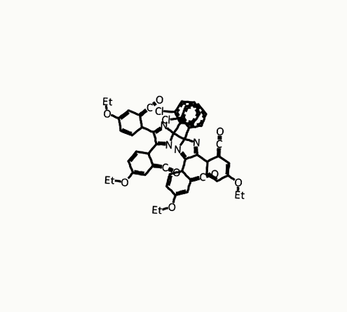 CCOC1=CC(=C=O)C(C2=NC(c3ccccc3Cl)(C3(c4ccccc4Cl)N=C(C4C=CC(OCC)=CC4=C=O)C(C4C=CC(OCC)=CC4=C=O)=N3)N=C2C2C=CC(OCC)=CC2=C=O)C=C1